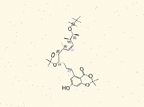 C[C@H](/C=C\[C@@H](C)[C@H](C)O[Si](C)(C)C(C)(C)C)[C@H]1OC(C)(C)O[C@H]1C/C=C/c1cc(O)cc2c1C(=O)OC(C)(C)O2